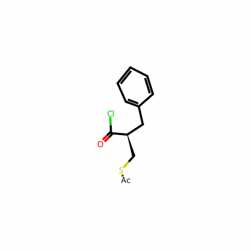 CC(=O)SC[C@H](Cc1ccccc1)C(=O)Cl